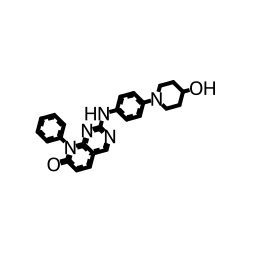 O=c1ccc2cnc(Nc3ccc(N4CCC(O)CC4)cc3)nc2n1-c1ccccc1